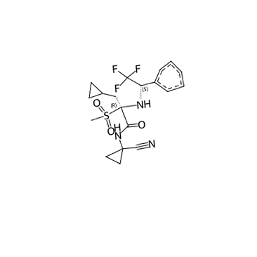 CS(=O)(=O)[C@@](CC1CC1)(N[C@@H](c1ccccc1)C(F)(F)F)C(=O)NC1(C#N)CC1